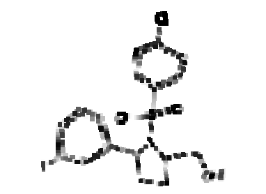 O=S(=O)(c1ccc(Cl)cc1)N1C(CO)CCC1c1cccc(F)c1